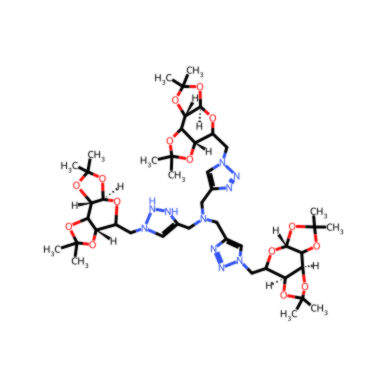 CC1(C)OC2[C@H](OC(Cn3cc(CN(CC4=CN(CC5O[C@@H]6OC(C)(C)O[C@H]6C6OC(C)(C)O[C@@H]56)NN4)Cc4cn(CC5O[C@@H]6OC(C)(C)O[C@H]6C6OC(C)(C)O[C@@H]56)nn4)nn3)[C@@H]3OC(C)(C)O[C@H]23)O1